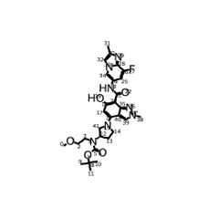 COCCN(C(=O)OC(C)(C)C)[C@@H]1CCN(c2cc(O)c(C(=O)Nc3cc(F)c4nc(C)cn4c3)c3nn(C)cc23)C1